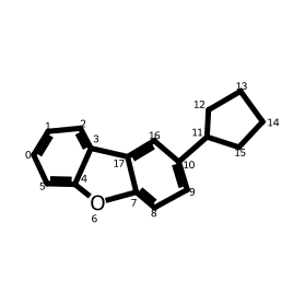 c1ccc2c(c1)oc1ccc(C3CCCC3)cc12